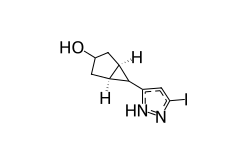 OC1C[C@@H]2C(c3cc(I)n[nH]3)[C@@H]2C1